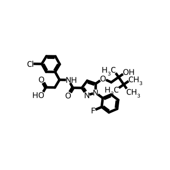 CC(C)(C)C(C)(O)COc1cc(C(=O)NC(CC(=O)O)c2cccc(Cl)c2)nn1-c1ccccc1F